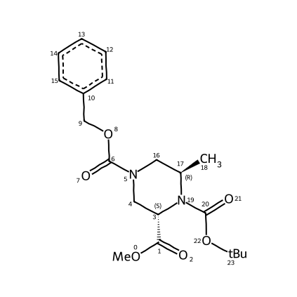 COC(=O)[C@@H]1CN(C(=O)OCc2ccccc2)C[C@@H](C)N1C(=O)OC(C)(C)C